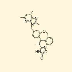 C/C(=C1/c2ccccc2COc2cc(Cn3c(C)nc4c(C)cc(C)nc43)ccc21)c1noc(=O)[nH]1